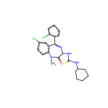 CN1C(=O)C(NC(=S)NC2CCCCC2)N=C(c2ccccc2Cl)c2cc(Cl)ccc21